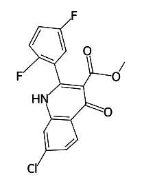 COC(=O)c1c(-c2cc(F)ccc2F)[nH]c2cc(Cl)ccc2c1=O